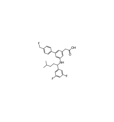 CC(C)CCC(Nc1cc(CC(=O)O)cc(-c2ccc(CF)cc2)c1)c1cc(F)cc(F)c1